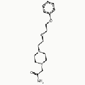 NC(=O)CN1CCN(CCOCCOc2ccccc2)CC1